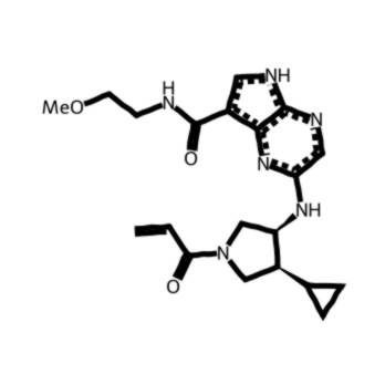 C=CC(=O)N1C[C@H](C2CC2)[C@H](Nc2cnc3[nH]cc(C(=O)NCCOC)c3n2)C1